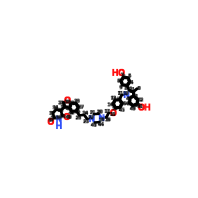 Cc1c(-c2ccc(O)cc2)n(Cc2ccc(OCCN3CCN(CCCc4ccc5occ(C6CCC(=O)NC6=O)c5c4)CC3)cc2)c2ccc(O)cc12